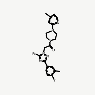 Cc1ccnc(N2CCN(C(=O)Cn3nc(-c4ccc(F)c(C)c4)nc3C(C)C)CC2)c1